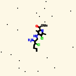 C=C/C=C\C(Cl)=C(/N)CNc1c(C)c(C(=O)OC)nc(C)c1Cl